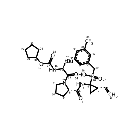 C=C[C@@H]1C[C@]1(NC(=O)[C@@H]1CCCN1C(=O)[C@@H](NC(=O)OC1CCCC1)C(C)(C)C)P(=O)(O)Cc1cccc(C(F)(F)F)c1